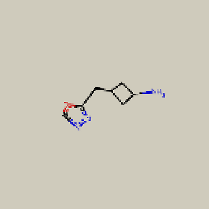 N[C@H]1C[C@@H](Cc2nnco2)C1